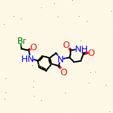 O=C1CCC(N2Cc3cc(NC(=O)CBr)ccc3C2=O)C(=O)N1